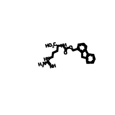 N=C(N)NCCC[C@@H](NC(=O)OCc1cccc2c1Cc1ccccc1-2)C(=O)O